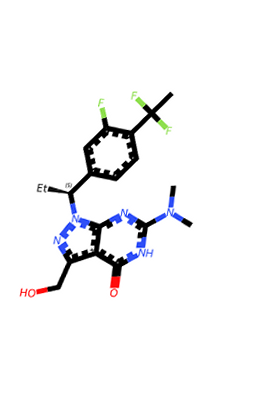 CC[C@@H](c1ccc(C(C)(F)F)c(F)c1)n1nc(CO)c2c(=O)[nH]c(N(C)C)nc21